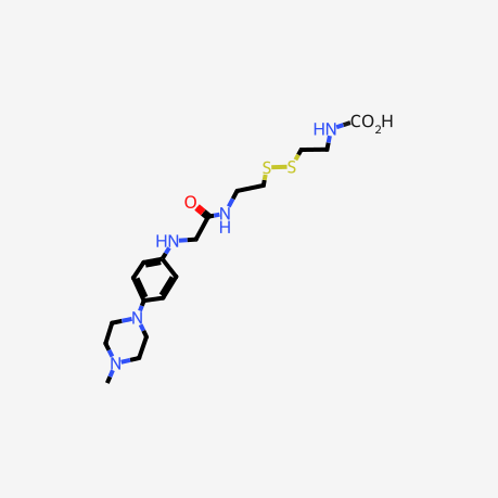 CN1CCN(c2ccc(NCC(=O)NCCSSCCNC(=O)O)cc2)CC1